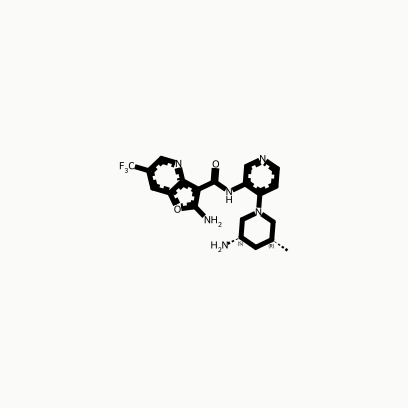 C[C@@H]1C[C@H](N)CN(c2ccncc2NC(=O)c2c(N)oc3cc(C(F)(F)F)cnc23)C1